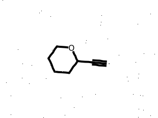 [C]#CC1CCCCO1